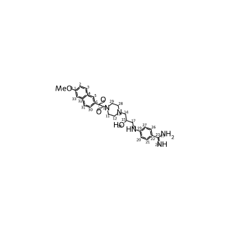 COc1ccc2cc(S(=O)(=O)N3CCN(CC(O)CNc4ccc(C(=N)N)cc4)CC3)ccc2c1